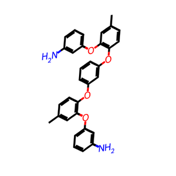 Cc1ccc(Oc2cccc(Oc3ccc(C)cc3Oc3cccc(N)c3)c2)c(Oc2cccc(N)c2)c1